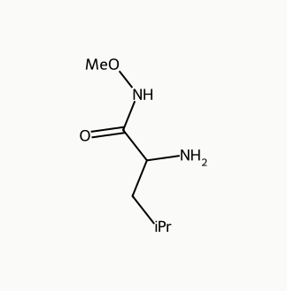 CONC(=O)C(N)CC(C)C